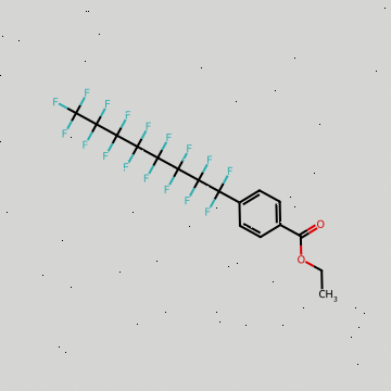 CCOC(=O)c1ccc(C(F)(F)C(F)(F)C(F)(F)C(F)(F)C(F)(F)C(F)(F)C(F)(F)C(F)(F)F)cc1